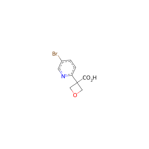 O=C(O)C1(c2ccc(Br)cn2)COC1